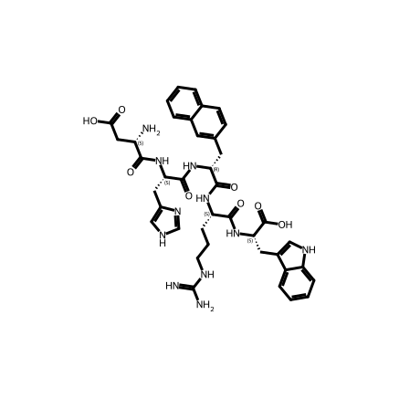 N=C(N)NCCC[C@H](NC(=O)[C@@H](Cc1ccc2ccccc2c1)NC(=O)[C@H](Cc1c[nH]cn1)NC(=O)[C@@H](N)CC(=O)O)C(=O)N[C@@H](Cc1c[nH]c2ccccc12)C(=O)O